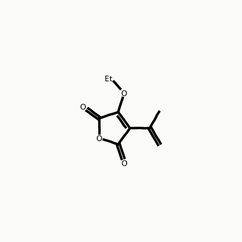 C=C(C)C1=C(OCC)C(=O)OC1=O